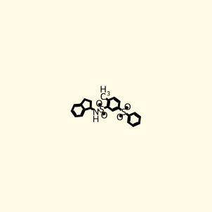 Cc1ccc(S(=O)(=O)c2ccccc2)cc1S(=O)(=O)NC1CCc2ccccc21